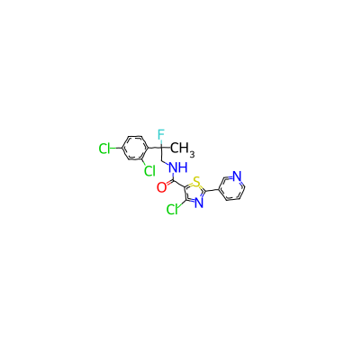 CC(F)(CNC(=O)c1sc(-c2cccnc2)nc1Cl)c1ccc(Cl)cc1Cl